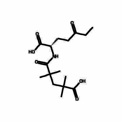 CCC(=O)CC[C@H](NC(=O)C(C)(C)CC(C)(C)C(=O)O)C(=O)O